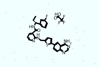 CC[C@H](NC(=O)c1cccnc1NCc1ccc(-c2ccc3ncnc(N)c3c2)s1)c1cccc(F)c1.O=C(O)C(F)(F)F